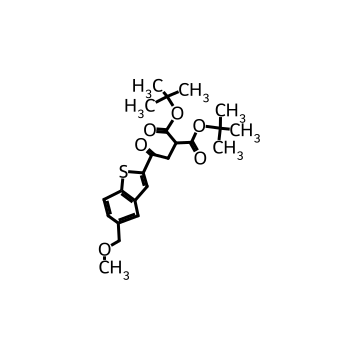 COCc1ccc2sc(C(=O)CC(C(=O)OC(C)(C)C)C(=O)OC(C)(C)C)cc2c1